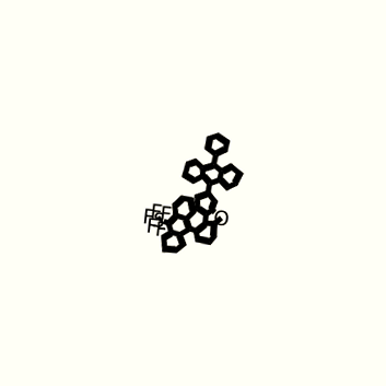 FS(F)(F)(F)(F)c1c2ccccc2c(-c2cccc3oc4cc(-c5c6ccccc6c(-c6ccccc6)c6ccccc56)ccc4c23)c2ccccc12